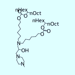 CCCCCCCCC(CCCCCC)OC(=O)OCCCCCCN(CCCCCCOC(=O)OC(CCCCCC)CCCCCCCC)CC(O)CN1CCN(C)CC1